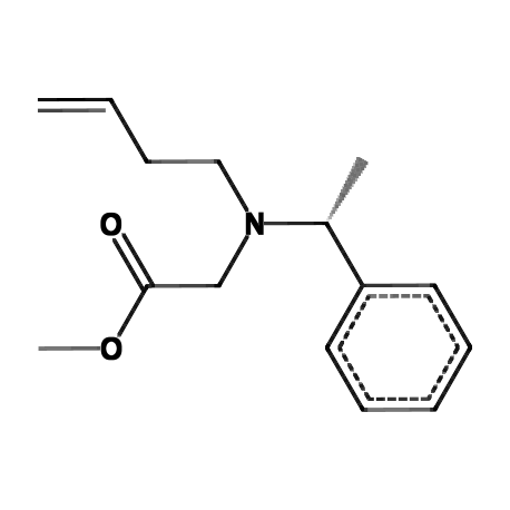 C=CCCN(CC(=O)OC)[C@H](C)c1ccccc1